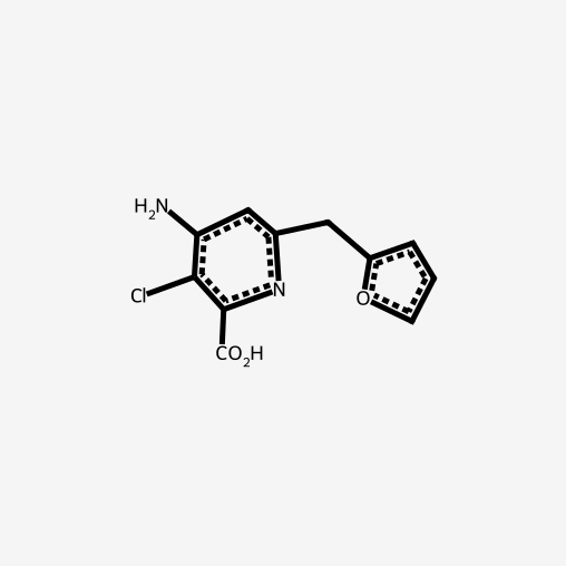 Nc1cc(Cc2ccco2)nc(C(=O)O)c1Cl